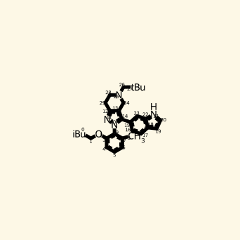 CCC(C)COc1cccc(C)c1-n1nc2c(c1-c1ccc3cc[nH]c3c1)CN(CC(C)(C)C)CC2